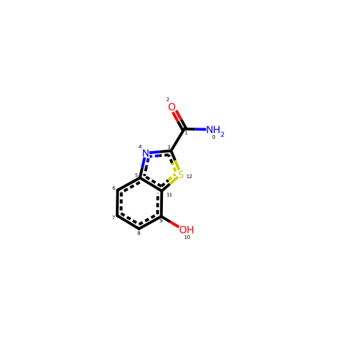 NC(=O)c1nc2cccc(O)c2s1